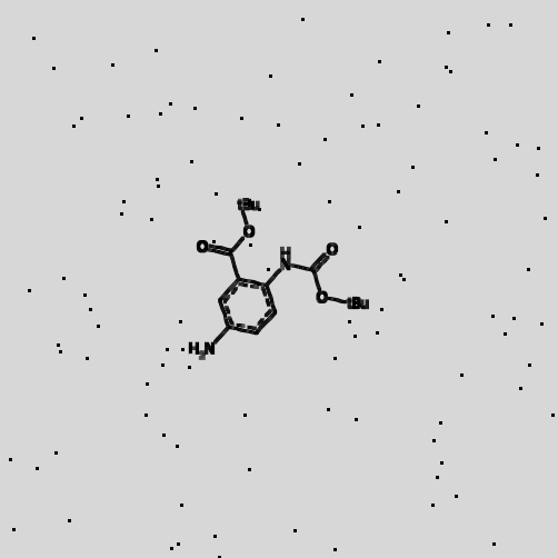 CC(C)(C)OC(=O)Nc1ccc(N)cc1C(=O)OC(C)(C)C